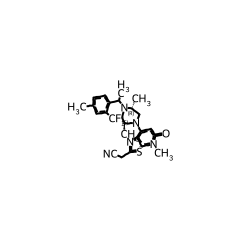 Cc1ccc(C(C)N2C[C@H](C)N(c3cc(=O)n(C)c4sc(CC#N)nc34)C[C@H]2C)c(C(F)(F)F)c1